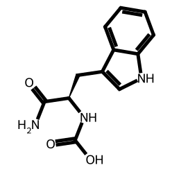 NC(=O)[C@@H](Cc1c[nH]c2ccccc12)NC(=O)O